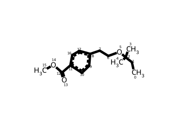 CCC(C)(C)OCCc1ccc(C(=O)OC)cc1